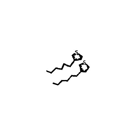 CCCCCCc1ccsc1.CCCCCCc1ccsc1